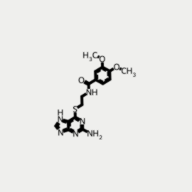 COc1ccc(C(=O)NCCSc2nc(N)nc3nc[nH]c23)cc1OC